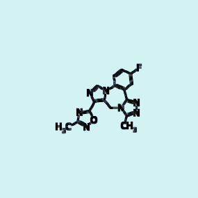 Cc1noc(-c2ncn3c2Cn2c(C)nnc2-c2cc(F)ccc2-3)n1